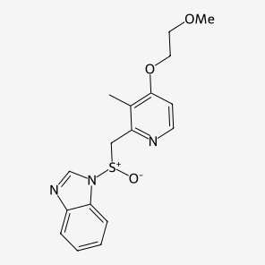 COCCOc1ccnc(C[S+]([O-])n2cnc3ccccc32)c1C